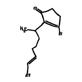 CC/C=C/CCC(C)C1=C(CC)CCC1=O